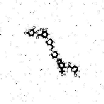 CN(C(=O)c1cc(N2CCC(CCN3CCC(n4cc5cc(NC(=O)c6cccc(C(F)(F)F)n6)c(C(C)(C)O)cc5n4)CC3)CC2)ccc1C=O)C1CCC(=O)NC1=O